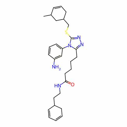 CC1C=CCC(CSc2nnc(CCCCC(=O)NCCC3C=CC=CC3)n2-c2cccc(N)c2)C1